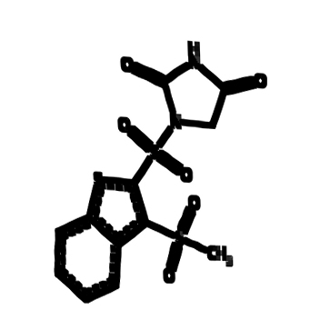 CS(=O)(=O)c1c(S(=O)(=O)N2CC(=O)NC2=O)sc2ccccc12